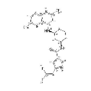 O=C(N[C@@H]1CCC[C@H](Nc2cc(C(F)(F)F)nc3ccc(Cl)cc23)C1)c1cnn(CC(F)F)c1